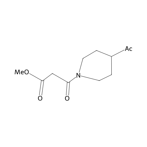 COC(=O)CC(=O)N1CCC(C(C)=O)CC1